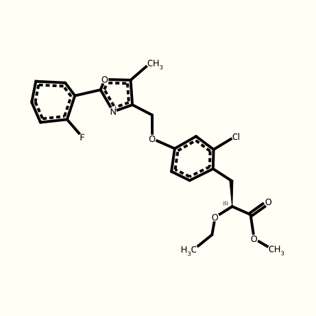 CCO[C@@H](Cc1ccc(OCc2nc(-c3ccccc3F)oc2C)cc1Cl)C(=O)OC